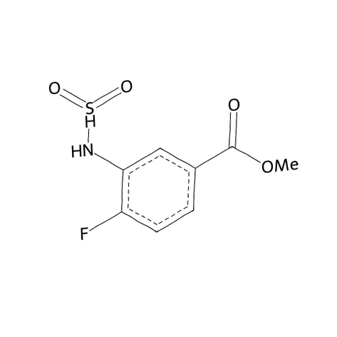 COC(=O)c1ccc(F)c(N[SH](=O)=O)c1